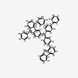 c1ccc(-c2ccc(N(c3ccc(-c4cccc5c4sc4ccccc45)cc3)c3ccc4c(c3)c3c(-c5ccccc5)cccc3n4-c3ccccc3)cc2)cc1